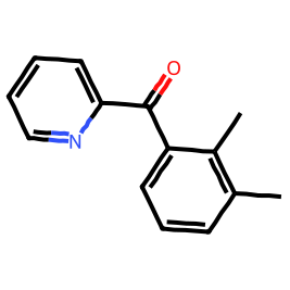 Cc1cccc(C(=O)c2ccccn2)c1C